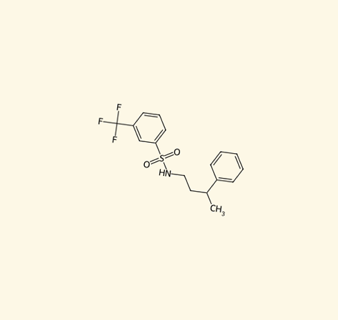 CC(CCNS(=O)(=O)c1cccc(C(F)(F)F)c1)c1ccccc1